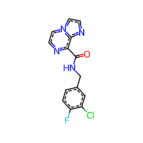 O=C(NCc1ccc(F)c(Cl)c1)c1nccn2ccnc12